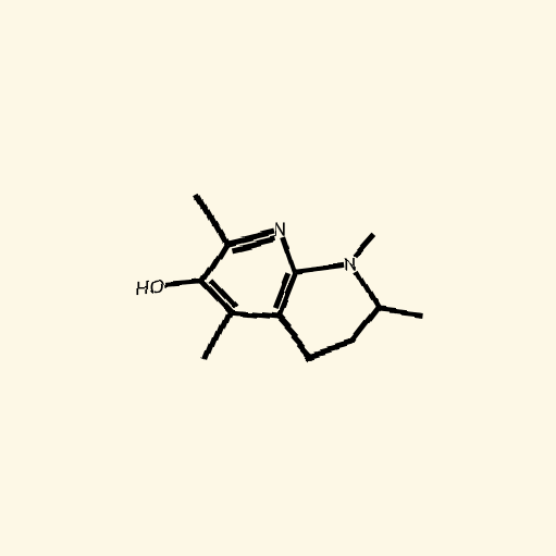 Cc1nc2c(c(C)c1O)CCC(C)N2C